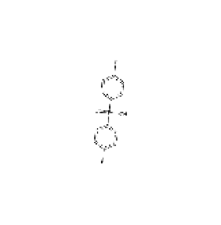 O=P(O)(c1ccc(F)cc1)c1ccc(F)cc1